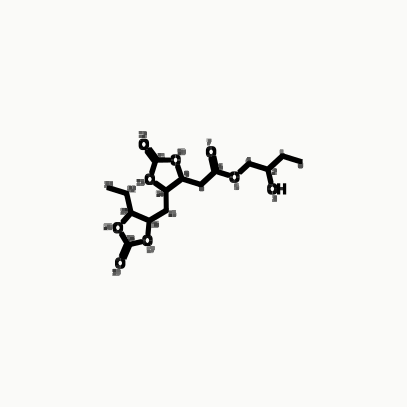 CCC(O)COC(=O)CC1OC(=O)OC1CC1OC(=O)OC1CC